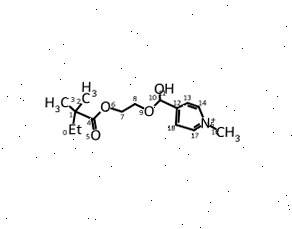 CCC(C)(C)C(=O)OCCOC(O)c1cc[n+](C)cc1